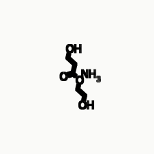 N.O=C(CCO)OCCO